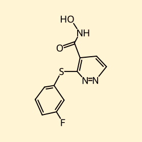 O=C(NO)c1ccnnc1Sc1cccc(F)c1